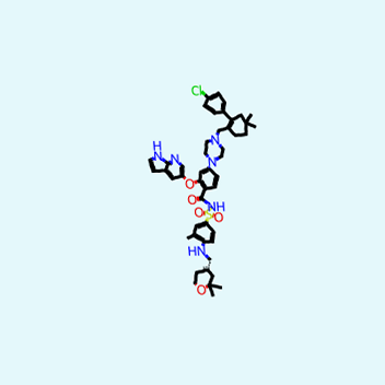 Cc1cc(S(=O)(=O)NC(=O)c2ccc(N3CCN(CC4=C(c5ccc(Cl)cc5)CC(C)(C)CC4)CC3)cc2Oc2cnc3[nH]ccc3c2)ccc1NC[C@H]1CCOC(C)(C)C1